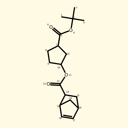 CC(C)(C)OC(=O)C1CCC(OC(=O)C2CC3C=CC2C3)C1